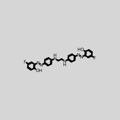 Oc1ccc(F)cc1/N=N/c1ccc(NCCNc2ccc(/N=N/c3cc(F)ccc3O)cc2)cc1